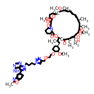 CO[C@H]1C[C@@H]2CC[C@@H](C)[C@@](O)(O2)C(=O)C(=O)N2CCCC[C@H]2C(=O)O[C@H]([C@H](C)C[C@@H]2CC[C@@H](OCCOCc3cn(CCCCn4nc(-c5ccc6oc(C)nc6c5)c5c(N)ncnc54)nn3)[C@H](OC)C2)CC(=O)[C@H](C)/C=C(\C)[C@@H](O)[C@@H](OC)C(=O)[C@H](C)C[C@H](C)/C=C/C=C/C=C/1C